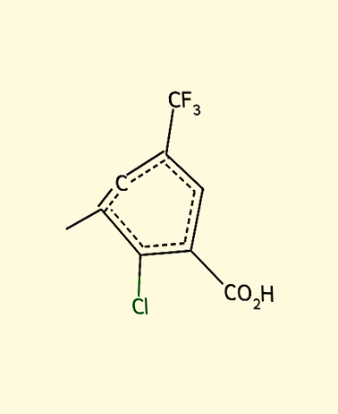 Cc1cc(C(F)(F)F)cc(C(=O)O)c1Cl